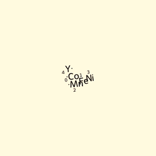 [Co].[Fe].[Mn].[Ni].[Y]